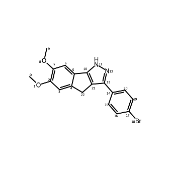 COc1cc2c(cc1OC)-c1[nH]nc(-c3ccc(Br)cc3)c1C2